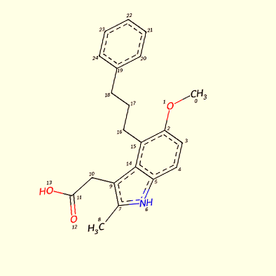 COc1ccc2[nH]c(C)c(CC(=O)O)c2c1CCCc1ccccc1